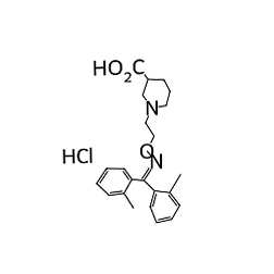 Cc1ccccc1C(=NOCCN1CCCC(C(=O)O)C1)c1ccccc1C.Cl